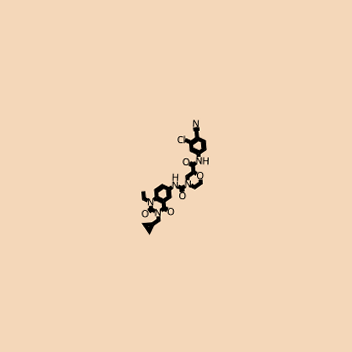 CCn1c(=O)n(CC2CC2)c(=O)c2cc(NC(=O)N3CCOC(C(=O)Nc4ccc(C#N)c(Cl)c4)C3)ccc21